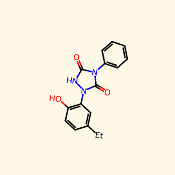 CCc1ccc(O)c(-n2[nH]c(=O)n(-c3ccccc3)c2=O)c1